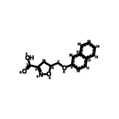 O=C(O)C1=NOC(COc2ccc3ccccc3c2)C1